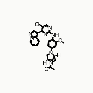 COc1cc(N2C[C@@H]3C[C@H]2CN3C(C)=O)ccc1Nc1ncc(Cl)c(-c2cnn3ccccc23)n1